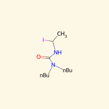 CCCCN(CCCC)C(=O)NC(C)I